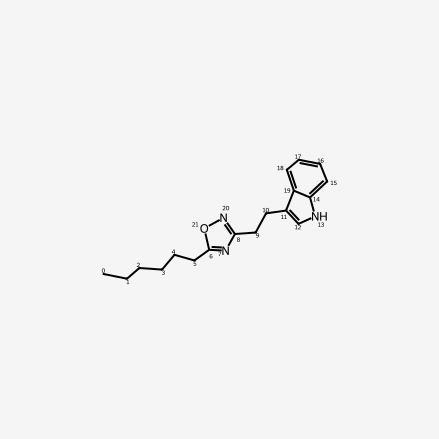 CCCCCCc1nc(CCc2c[nH]c3ccccc23)no1